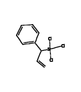 C=CC(c1ccccc1)[Si](Cl)(Cl)Cl